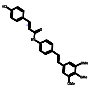 COc1cc(C=Cc2ccc(NC(=O)/C=C/c3ccc(O)cc3)cc2)cc(OC)c1OC